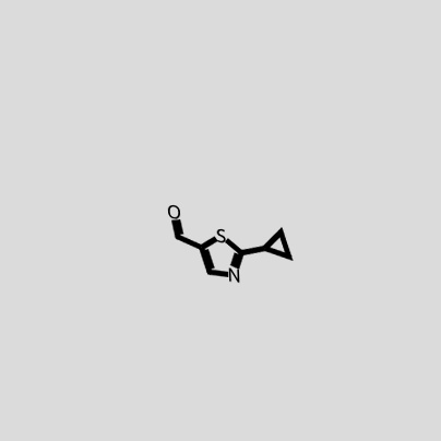 O=Cc1cnc(C2CC2)s1